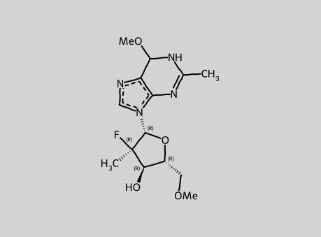 COC[C@H]1O[C@@H](n2cnc3c2N=C(C)NC3OC)[C@](C)(F)[C@@H]1O